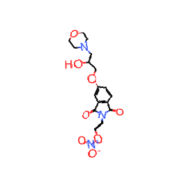 O=C1c2ccc(OCC(O)CN3CCOCC3)cc2C(=O)N1CCO[N+](=O)[O-]